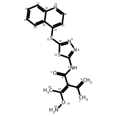 C=C(C)/C(C(=O)Nc1nnc(Sc2ccnc3ccccc23)s1)=C(/C)ON